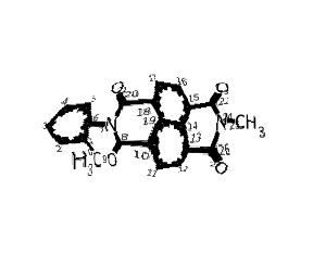 Cc1ccccc1N1C(=O)c2ccc3c4c(ccc(c24)C1=O)C(=O)N(C)C3=O